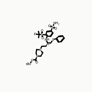 CC(C)(C)OC(=O)N1CCN(CC[C@H](CSc2ccccc2)Nc2ccc(S(N)(=O)=O)cc2S(=O)(=O)C(C)(C)F)CC1